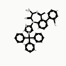 CC1=NC(N)C(=O)N(c2cn(C(c3ccccc3)(c3ccccc3)c3ccccc3)cn2)c2cccc(-c3ccccc3F)c21